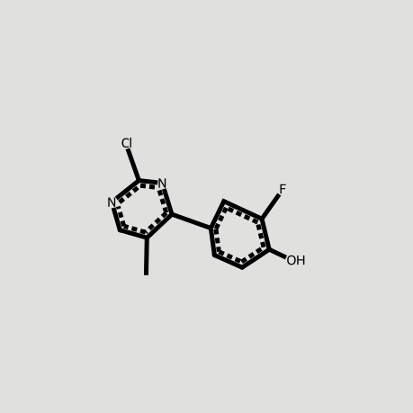 Cc1cnc(Cl)nc1-c1ccc(O)c(F)c1